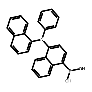 OB(O)c1ccc(N(c2ccccc2)c2cccc3ccccc23)c2ccccc12